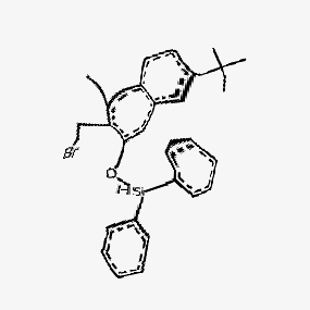 Cc1c(CBr)c(O[SiH](c2ccccc2)c2ccccc2)cc2cc(C(C)(C)C)ccc12